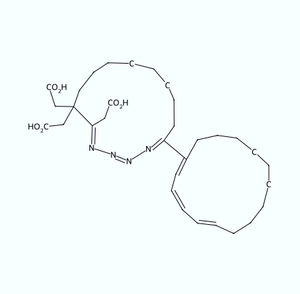 O=C(O)C\C1=N/N=N\N=C(/C2=C/C=C\C=C\CCCCCCCCC2)CCCCCCCCC1(CC(=O)O)CC(=O)O